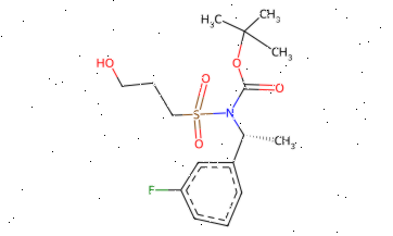 C[C@H](c1cccc(F)c1)N(C(=O)OC(C)(C)C)S(=O)(=O)CCCO